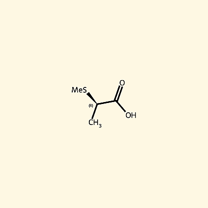 CS[C@H](C)C(=O)O